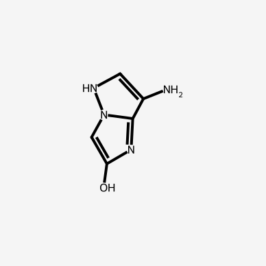 Nc1c[nH]n2cc(O)nc12